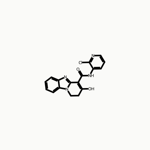 O=C(Nc1cccnc1Cl)C1=C(O)CCn2c1nc1ccccc12